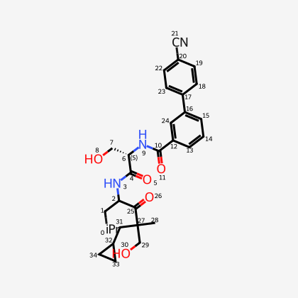 CC(C)CC(NC(=O)[C@H](CO)NC(=O)c1cccc(-c2ccc(C#N)cc2)c1)C(=O)C(C)(CO)CC1CC1